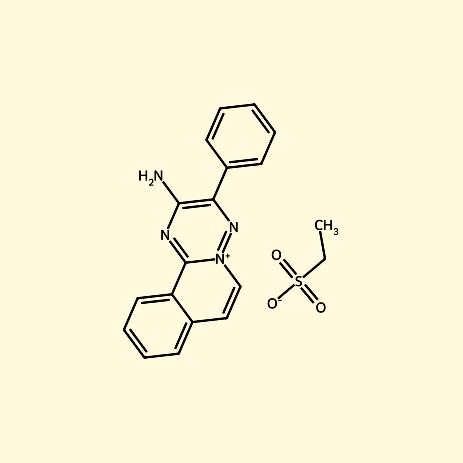 CCS(=O)(=O)[O-].Nc1nc2c3ccccc3cc[n+]2nc1-c1ccccc1